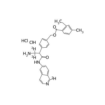 Cl.Cl.[2H]c1nccc2cc(NC(=O)C(c3ccc(COC(=O)c4ccc(C)cc4C)cc3)C([2H])([2H])N)ccc12